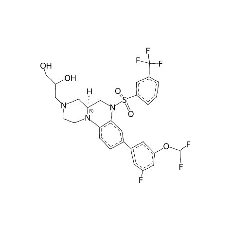 O=S(=O)(c1cccc(C(F)(F)F)c1)N1C[C@@H]2CN(CC(O)CO)CCN2c2ccc(-c3cc(F)cc(OC(F)F)c3)cc21